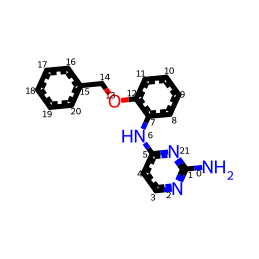 Nc1nccc(Nc2ccccc2OCc2ccccc2)n1